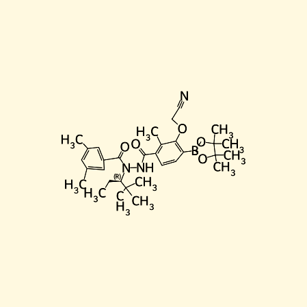 CC[C@@H](N(NC(=O)c1ccc(B2OC(C)(C)C(C)(C)O2)c(OCC#N)c1C)C(=O)c1cc(C)cc(C)c1)C(C)(C)C